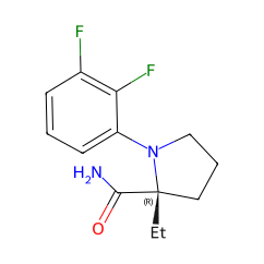 CC[C@]1(C(N)=O)CCCN1c1cccc(F)c1F